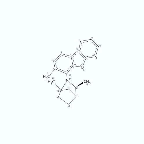 Cc1ccc2c(oc3ccccc32)c1N1[C@@H](C)C2CCC1(C)C2